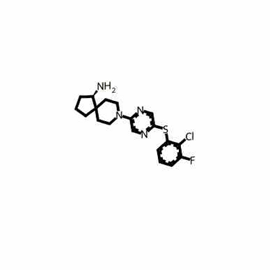 N[C@@H]1CCCC12CCN(c1cnc(Sc3cccc(F)c3Cl)cn1)CC2